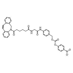 O=C(CCCCC(=O)N1Cc2ccccc2C#Cc2ccccc21)NCC(=O)Nc1ccc(COC(=O)Oc2ccc([N+](=O)[O-])cc2)cc1